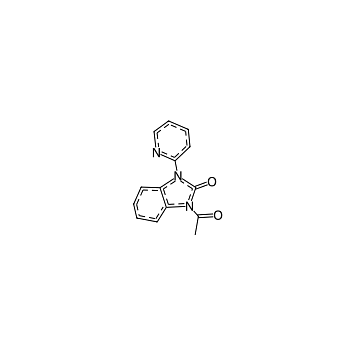 CC(=O)n1c(=O)n(-c2ccccn2)c2ccccc21